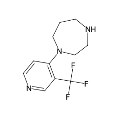 FC(F)(F)c1cnccc1N1CCCNCC1